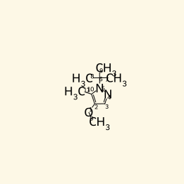 COc1cnn(C(C)(C)C)c1C